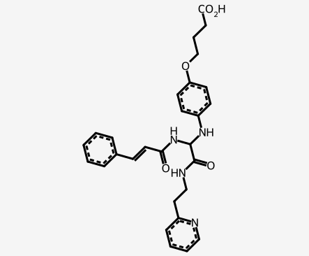 O=C(O)CCCOc1ccc(NC(NC(=O)/C=C/c2ccccc2)C(=O)NCCc2ccccn2)cc1